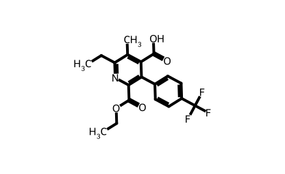 CCOC(=O)c1nc(CC)c(C)c(C(=O)O)c1-c1ccc(C(F)(F)F)cc1